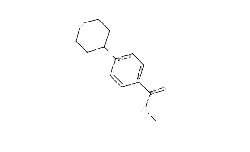 CNC(=O)c1ccc(C2CCNCC2)cc1